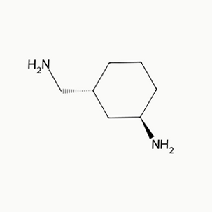 NC[C@@H]1CCC[C@@H](N)C1